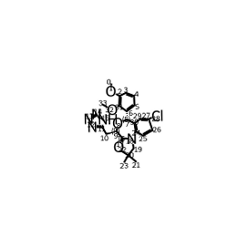 COc1cccc([C@H]2O[C@H](Cc3nnn[nH]3)C(=O)N(CC(C)(C)C)c3ccc(Cl)cc32)c1OC